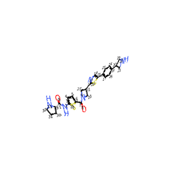 O=C(Nc1ccc(C(=O)N2CC(c3ncc(-c4ccc(C5CNC5)cc4)s3)C2)s1)[C@@H]1CCCN1